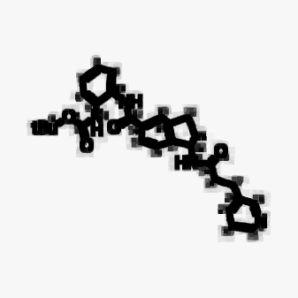 CC(C)(C)OC(=O)Nc1ccccc1NC(=O)c1ccc2c(c1)CCC2NC(=O)CCc1cccnc1